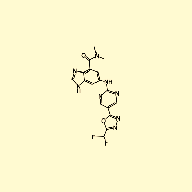 CN(C)C(=O)c1cc(Nc2ncc(-c3nnc(C(F)F)o3)cn2)cc2[nH]cnc12